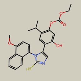 CCOC(=O)Oc1cc(O)c(-c2cnc(S)n2-c2ccc(OC)c3ccccc23)cc1C(C)C